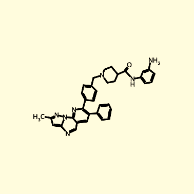 Cc1cc2ncc3cc(-c4ccccc4)c(-c4ccc(CN5CCC(C(=O)Nc6cccc(N)c6)CC5)cc4)nc3n2n1